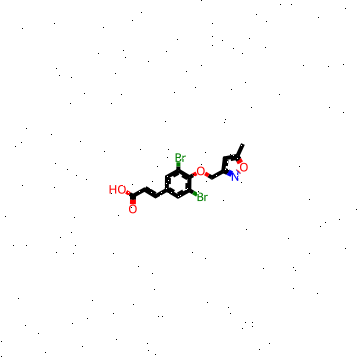 Cc1cc(COc2c(Br)cc(C=CC(=O)O)cc2Br)no1